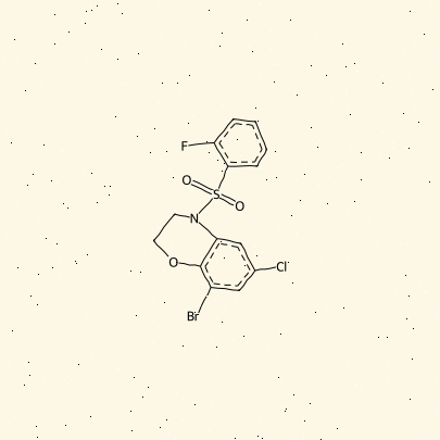 O=S(=O)(c1ccccc1F)N1CCOc2c(Br)cc(Cl)cc21